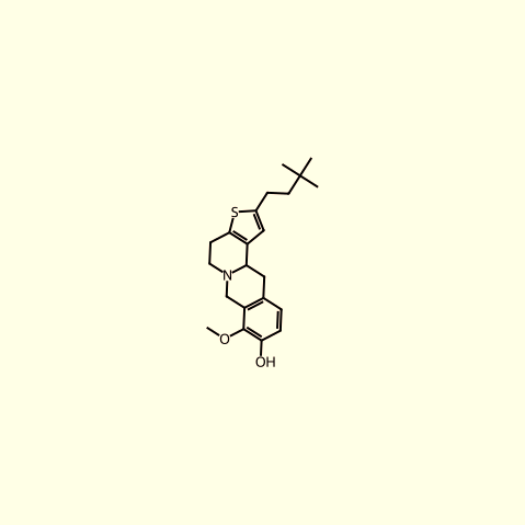 COc1c(O)ccc2c1CN1CCc3sc(CCC(C)(C)C)cc3C1C2